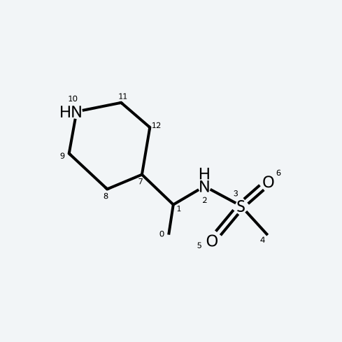 CC(NS(C)(=O)=O)C1CCNCC1